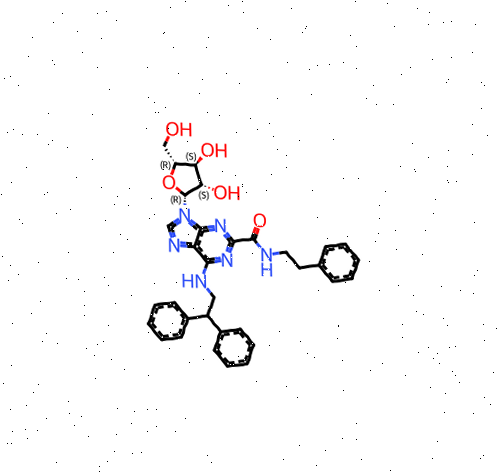 O=C(NCCc1ccccc1)c1nc(NCC(c2ccccc2)c2ccccc2)c2ncn([C@@H]3O[C@H](CO)[C@@H](O)[C@@H]3O)c2n1